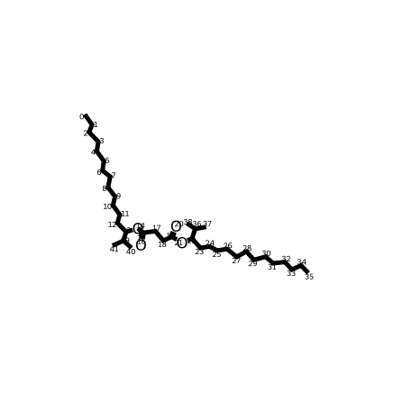 CCCCCCCCCCCCCC(OC(=O)CCC(=O)OC(CCCCCCCCCCCCC)C(C)C)C(C)C